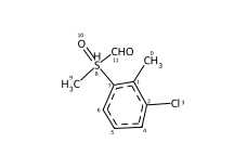 Cc1c(Cl)cccc1[SH](C)(=O)C=O